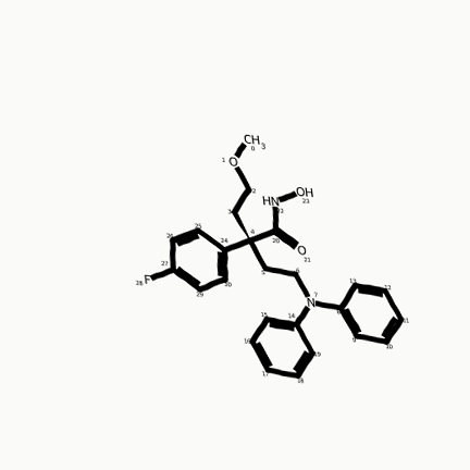 COCC[C@](CCN(c1ccccc1)c1ccccc1)(C(=O)NO)c1ccc(F)cc1